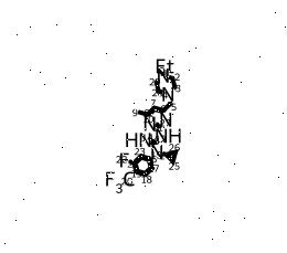 CCN1CCN(Cc2cc(C)nc(NC(=N)N(c3ccc(C(F)(F)F)c(F)c3)C3CC3)n2)CC1